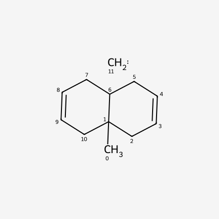 CC12CC=CCC1CC=CC2.[CH2]